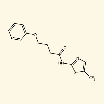 O=C(CCCOc1ccccc1)Nc1ncc(C(F)(F)F)s1